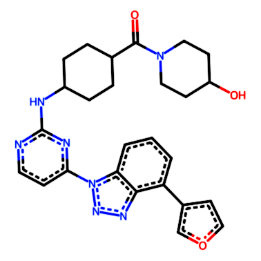 O=C(C1CCC(Nc2nccc(-n3nnc4c(-c5ccoc5)cccc43)n2)CC1)N1CCC(O)CC1